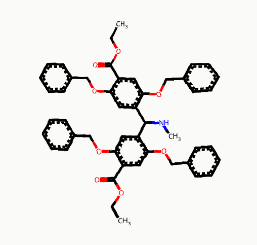 CCOC(=O)c1cc(OCc2ccccc2)c(C(NC)c2cc(OCc3ccccc3)c(C(=O)OCC)cc2OCc2ccccc2)cc1OCc1ccccc1